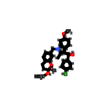 CC[C@]1(OC(=O)O)CCc2ccc(Cn3c(C)c(C(=O)c4ccc(Cl)cc4)c4ccc(OC(F)(F)F)cc43)cc2O1